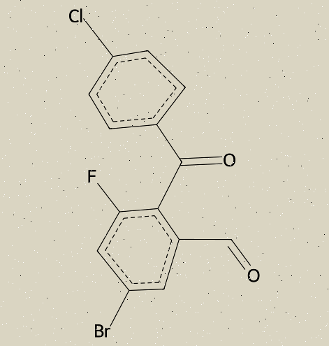 O=Cc1cc(Br)cc(F)c1C(=O)c1ccc(Cl)cc1